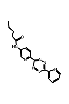 CCCCC(=O)Nc1ccc(-c2nnc(-c3ccccn3)nn2)nc1